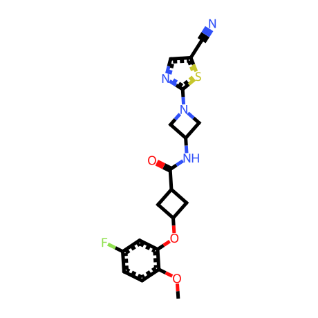 COc1ccc(F)cc1OC1CC(C(=O)NC2CN(c3ncc(C#N)s3)C2)C1